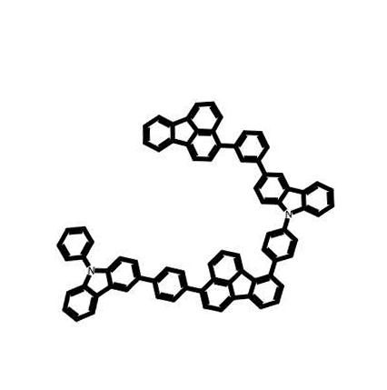 c1ccc(-n2c3ccccc3c3cc(-c4ccc(-c5ccc6c7c(cccc57)-c5c(-c7ccc(-n8c9ccccc9c9cc(-c%10cccc(-c%11ccc%12c%13c(cccc%11%13)-c%11ccccc%11-%12)c%10)ccc98)cc7)cccc5-6)cc4)ccc32)cc1